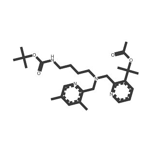 CC(=O)OC(C)(C)c1cccnc1CN(CCCCNC(=O)OC(C)(C)C)Cc1ncc(C)cc1C